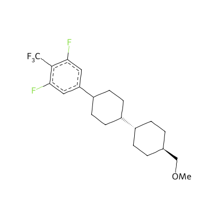 COC[C@H]1CC[C@H](C2CCC(c3cc(F)c(C(F)(F)F)c(F)c3)CC2)CC1